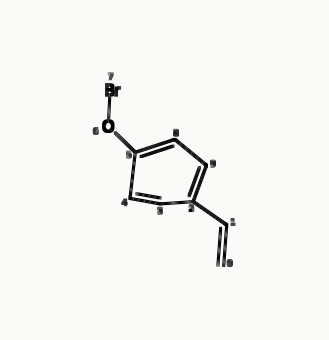 C=Cc1ccc(OBr)cc1